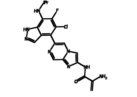 C=C(N)C(=O)Nc1cn2cc(-c3c(Cl)c(F)c(NC(C)C)c4[nH]ncc34)ncc2n1